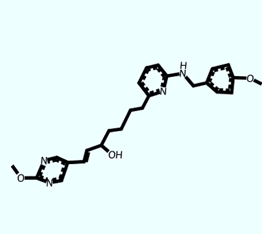 COc1ccc(CNc2cccc(CCCCC(O)/C=C/c3cnc(OC)nc3)n2)cc1